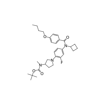 CCCCOc1ccc(C(=O)N(c2ccc(N3CCC(N(C)C(=O)OC(C)(C)C)C3)c(F)c2)C2CCC2)cc1